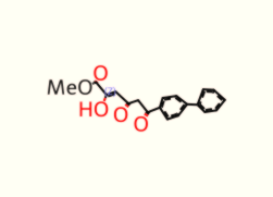 COC(=O)/C(O)=C/C(=O)CC(=O)c1ccc(-c2ccccc2)cc1